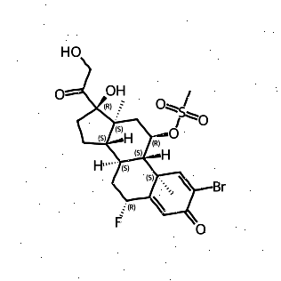 C[C@]12C=C(Br)C(=O)C=C1[C@H](F)C[C@@H]1[C@@H]2[C@H](OS(C)(=O)=O)C[C@@]2(C)[C@H]1CC[C@]2(O)C(=O)CO